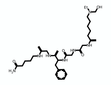 C=C(CCCCCN(CC)CO)NCC(=O)NCC(=O)NC(Cc1ccccc1)C(=C)NCC(=C)NCCCCC(N)=O